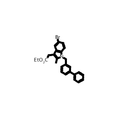 CCOC(=O)Cc1c(C)n(Cc2cccc(-c3ccccc3)c2)c2ccc(Br)cc12